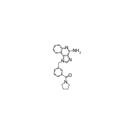 Nc1nc2ccccc2c2c1ncn2Cc1cccc(C(=O)N2CCCC2)c1